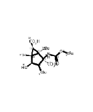 CC(C)(C)OC(=O)N[C@@]1(C(=O)O)C(C(C)(C)C)[C@@H](O)[C@@H]2[C@@H](C(=O)O)[C@]21C(C)(C)C